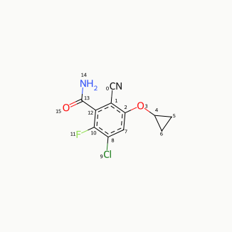 N#Cc1c(OC2CC2)cc(Cl)c(F)c1C(N)=O